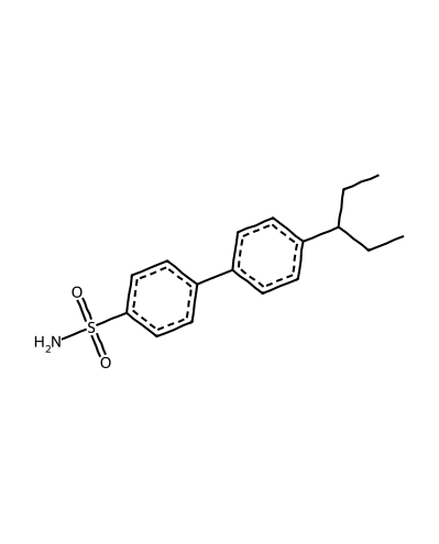 CCC(CC)c1ccc(-c2ccc(S(N)(=O)=O)cc2)cc1